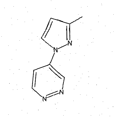 Cc1ccn(-c2ccnnc2)n1